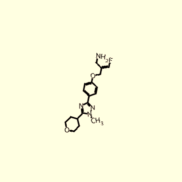 Cn1nc(-c2ccc(OC/C(=C/F)CN)cc2)nc1C1CCOCC1